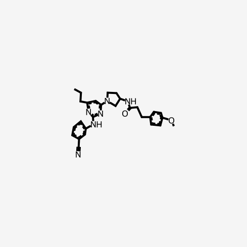 CCCc1cc(N2CCC(NC(=O)CCc3ccc(OC)cc3)C2)nc(Nc2cccc(C#N)c2)n1